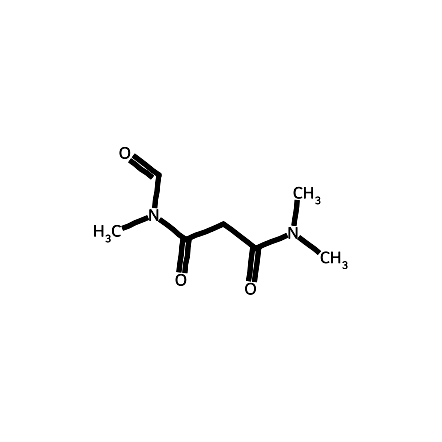 CN(C)C(=O)CC(=O)N(C)C=O